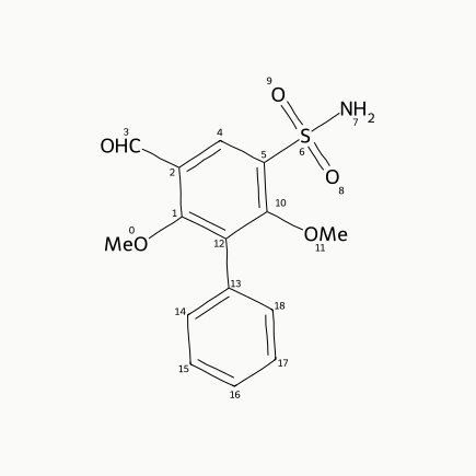 COc1c(C=O)cc(S(N)(=O)=O)c(OC)c1-c1ccccc1